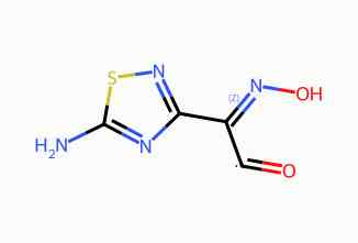 Nc1nc(/C([C]=O)=N/O)ns1